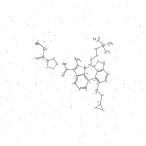 Cc1c(C(=O)N[C@@H]2CCN(C(=O)OC(C)(C)C)C2)c2ncnc(-c3c(OCC4CC4)ccc4c3OCO4)c2n1COCC[Si](C)(C)C